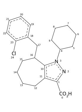 O=C(O)c1nn(C2CCCCC2)c2c1CCCCC2Cc1ccccc1Cl